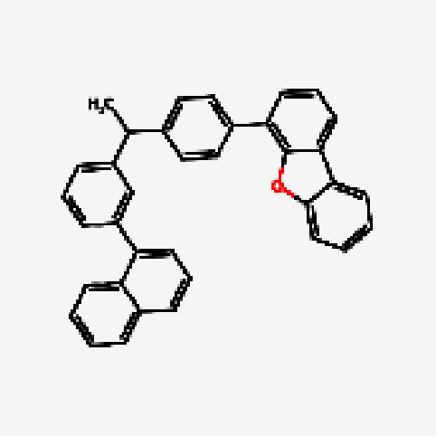 CC(c1ccc(-c2cccc3c2oc2ccccc23)cc1)c1cccc(-c2cccc3ccccc23)c1